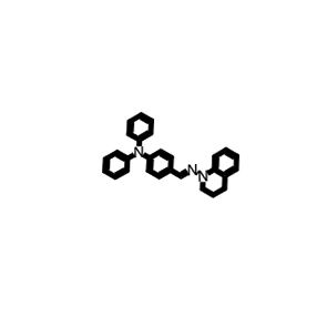 C(=NN1CCCc2ccccc21)c1ccc(N(c2ccccc2)c2ccccc2)cc1